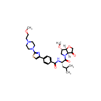 COCCN1CCN(c2nc(-c3ccc(C(=O)N[C@@H](CC(C)C)C(=O)N4C[C@H](OC)[C@H]5OCC(=O)[C@H]54)cc3)cs2)CC1